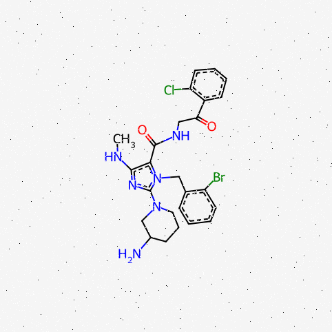 CNc1nc(N2CCCC(N)C2)n(Cc2ccccc2Br)c1C(=O)NCC(=O)c1ccccc1Cl